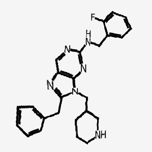 Fc1ccccc1CNc1ncc2nc(Cc3ccccc3)n(CC3CCCNC3)c2n1